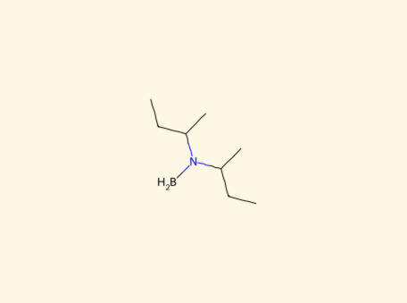 BN(C(C)CC)C(C)CC